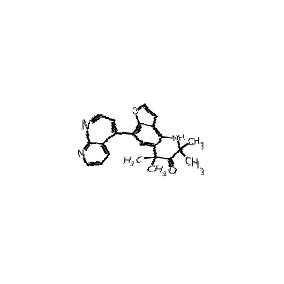 CC1(C)Nc2c(cc(-c3ccnc4ncccc34)c3occc23)C(C)(C)C1=O